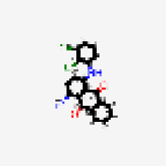 Nc1ccc(Nc2cccc(Cl)c2Cl)c2c1C(=O)c1ccccc1C2=O